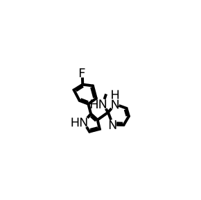 CNC1(c2cc[nH]c2-c2ccc(F)cc2)N=CC=CN1